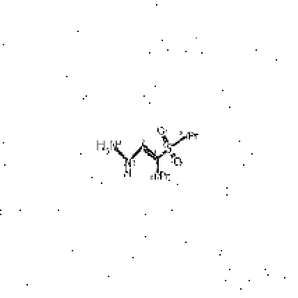 CCC/C(=C\NN)S(=O)(=O)C(C)C